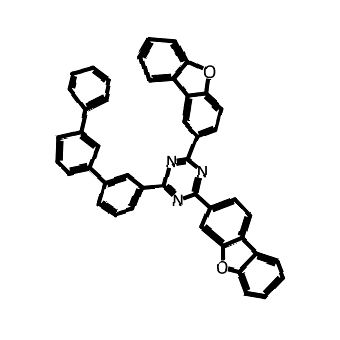 c1ccc(-c2cccc(-c3cccc(-c4nc(-c5ccc6c(c5)oc5ccccc56)nc(-c5ccc6oc7ccccc7c6c5)n4)c3)c2)cc1